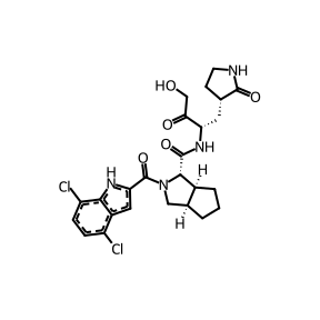 O=C1NCC[C@H]1C[C@H](NC(=O)[C@@H]1[C@H]2CCC[C@H]2CN1C(=O)c1cc2c(Cl)ccc(Cl)c2[nH]1)C(=O)CO